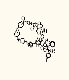 Nc1ncc(-c2cnn(C3CCN(CC4CCN(CC5CCN(C(=O)C6CN(C7=CC(=O)N(C8CCC(=O)NC8=O)C7=O)C6)CC5)CC4)CC3)c2)nc1C(=O)O[C@@H](C(=O)Nc1ccc(F)cc1)c1ccccc1